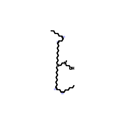 CCCCC/C=C\C/C=C\CCCCCCCCN(CCCCCCCC/C=C\C/C=C\CCCCC)CCN(C)CCO